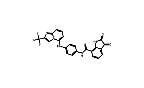 O=C1Nc2c(C(=O)Nc3ccc(Nc4cccc5nc(C(F)(F)F)cn45)cc3)cccc2C1=O